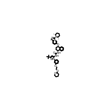 C[C@@H]1CCC[C@H](C)N1c1nnc2ccc(O[C@@H]3CC[C@H](NC(=O)Nc4cc(C(C)(C)C)nn4-c4cccc(OCCOC5CCCCO5)c4)c4ccccc43)cn12